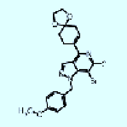 COc1ccc(Cn2ncc3c(C4=CCC5(CC4)OCCO5)nc(Cl)c(Br)c32)cc1